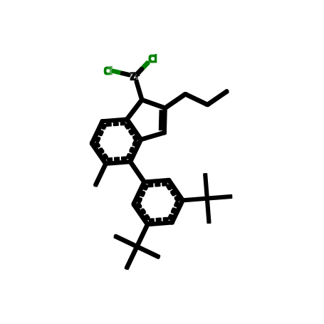 CCCC1=Cc2c(ccc(C)c2-c2cc(C(C)(C)C)cc(C(C)(C)C)c2)[CH]1[Zr]([Cl])[Cl]